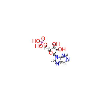 O=P(O)(O)OC[C@H]1O[C@@H](n2cnc3cncnc32)C(O)C1O